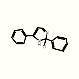 ClC1(c2ccccc2)N=CC=C(c2ccccc2)N1